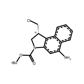 CC(C)(C)OC(=O)N1C[C@H](CCl)c2c1cc(N)c1ccccc21